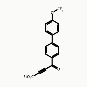 CCOC(=O)C#CC(=O)c1ccc(-c2ccc(OC(F)(F)F)cc2)cc1